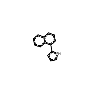 c1c[pH]c(-c2cccc3ccccc23)c1